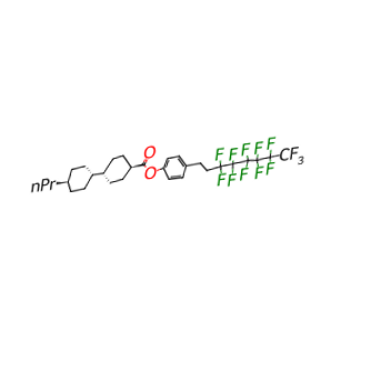 CCC[C@H]1CC[C@H]([C@H]2CC[C@H](C(=O)Oc3ccc(CCC(F)(F)C(F)(F)C(F)(F)C(F)(F)C(F)(F)C(F)(F)F)cc3)CC2)CC1